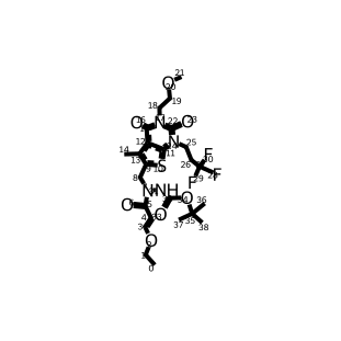 CCOC=CC(=O)N(Cc1sc2c(c1C)c(=O)n(CCOC)c(=O)n2CCC(F)(F)F)NC(=O)OC(C)(C)C